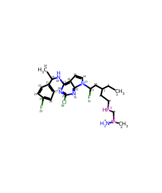 CCC(CCPCP(C)N)CC(F)n1ccc2c(NC(C)c3ccc(F)cc3)nc(Cl)nc21